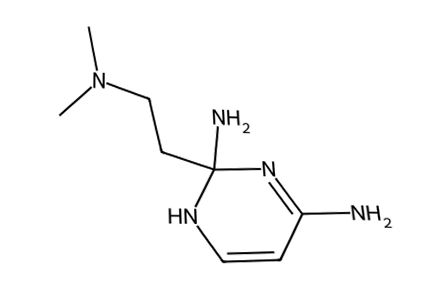 CN(C)CCC1(N)N=C(N)C=CN1